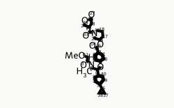 COCC(=O)NC(C)C(Oc1ccc(C(=O)O[C@H]2CCCN(C(=O)[C@H]3COC(=O)C3)C2)cc1)c1ccc(C2CC2)cc1